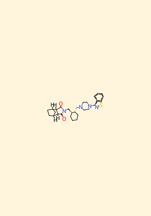 O=C1[C@@H]2[C@@H]3CC[C@@H](C3)[C@@H]2C(=O)N1C[C@@H]1CCCC[C@H]1CN1CCN(c2nsc3ccccc23)CC1